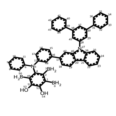 Bc1c(B)c(N(c2ccccc2)c2cccc(-c3ccc4c5ccccc5n(-c5cc(-c6ccccc6)cc(-c6ccccc6)c5)c4c3)c2)c(B)c(O)c1O